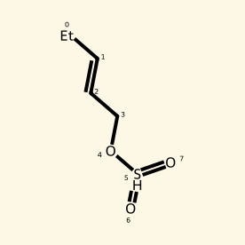 CCC=CCO[SH](=O)=O